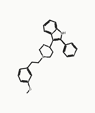 COc1cccc(CCN2CCC(c3c(-c4ccccc4)[nH]c4ccccc34)CC2)c1